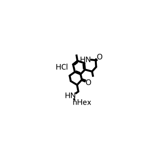 CCCCCCNCC1CCc2cc(C)c3c(c2C1=O)C(C)CC(=O)N3.Cl